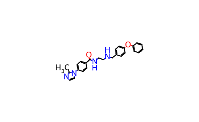 Cc1nccn1-c1ccc(C(=O)NCCNCc2ccc(Oc3ccccc3)cc2)cc1